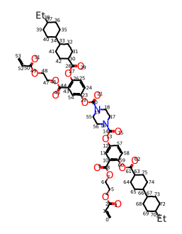 C=CC(=O)OCCOC(=O)c1cc(OC(=O)N2CCN(C(=O)Oc3ccc(OC(=O)C4CCC(C5CCC(CC)CC5)CC4)c(C(=O)OCCOC(=O)C=C)c3)CC2)ccc1OC(=O)C1CCC(C2CCC(CC)CC2)CC1